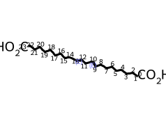 O=C(O)CCCCCCCC/C=C/C/C=C/CCCCCCCCCC(=O)O